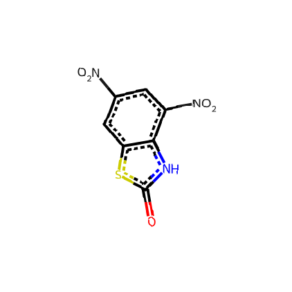 O=c1[nH]c2c([N+](=O)[O-])cc([N+](=O)[O-])cc2s1